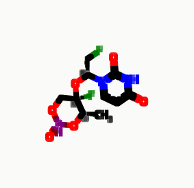 C[C@@H]1O[PH](=O)OC[C@@]1(F)O[C@H](CF)n1ccc(=O)[nH]c1=O